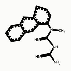 CN(C(=N)NC(=N)N)c1cccc2cc3ccccc3cc12